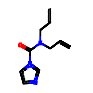 C=CCN(CC=C)C(=O)n1ccnc1